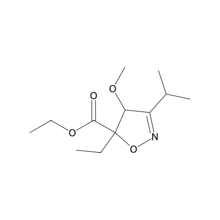 CCOC(=O)C1(CC)ON=C(C(C)C)C1OC